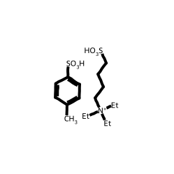 CC[N+](CC)(CC)CCCCS(=O)(=O)O.Cc1ccc(S(=O)(=O)O)cc1